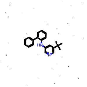 CC(C)(C)c1cncc(Nc2ccccc2-c2ccccc2)c1